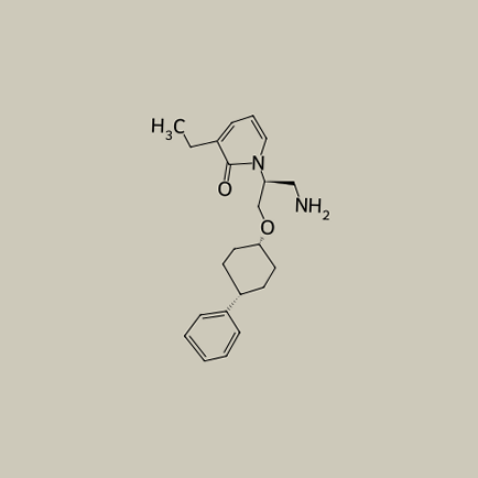 CCc1cccn([C@@H](CN)CO[C@H]2CC[C@@H](c3ccccc3)CC2)c1=O